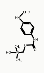 C[Si](C)(O)COC(=O)Nc1ccc(NC=O)cc1